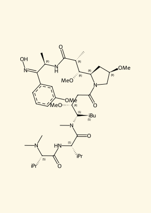 CC[C@H](C)[C@@H]([C@@H](CC(=O)N1C[C@H](OC)C[C@@H]1[C@H](OC)[C@@H](C)C(=O)N[C@H](C)C(=NO)c1cccc(OC)c1)OC)N(C)C(=O)[C@@H](NC(=O)[C@H](C(C)C)N(C)C)C(C)C